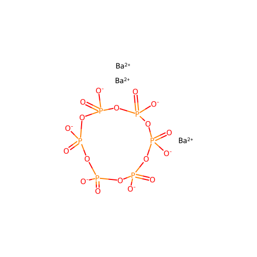 O=P1([O-])OP(=O)([O-])OP(=O)([O-])OP(=O)([O-])OP(=O)([O-])OP(=O)([O-])O1.[Ba+2].[Ba+2].[Ba+2]